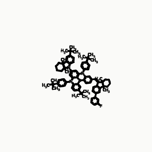 CC(C)(C)c1ccc(N2c3ccc(C(C)(C)C)cc3B3c4ccc(/C=C5\c6ccc(-c7cccc(F)c7)cc6C6(C)CCCCC56C)cc4N(c4ccc(C(C)(C)C)cc4)c4cc(N5c6ccc(C(C)(C)C)cc6C6(C)CCCCC56C)cc2c43)cc1